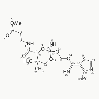 COC(=O)CCNC(=O)[C@@H]1O[P@@](=N)(OCOC(=N)c2scnc2C(C)C)OCC1(C)C